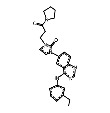 CCc1cccc(Nc2ncnc3ccc(-n4ccn(CCC(=O)N5CCCC5)c4=O)cc23)c1